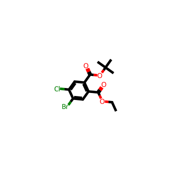 CCOC(=O)c1cc(Br)c(Cl)cc1C(=O)OC(C)(C)C